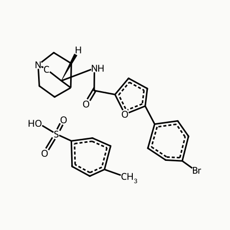 Cc1ccc(S(=O)(=O)O)cc1.O=C(N[C@H]1CN2CCC1CC2)c1ccc(-c2ccc(Br)cc2)o1